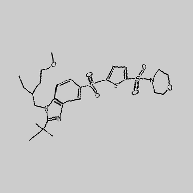 CCC(CCOC)Cn1c(C(C)(C)C)nc2cc(S(=O)(=O)c3ccc(S(=O)(=O)N4CCOCC4)s3)ccc21